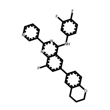 Fc1ccc(Nc2nc(-c3cccnc3)nc3c(F)cc(-c4ccc5c(c4)CCCO5)cc23)cc1F